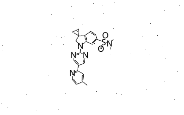 Cc1ccnc(-c2cnc(N3CC4(CC4)c4ccc(S(=O)(=O)N(C)C)cc43)nc2)c1